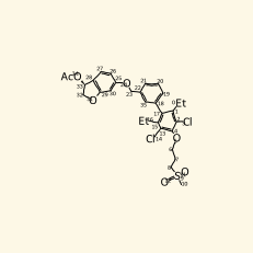 CCc1c(Cl)c(OCCCS(C)(=O)=O)c(Cl)c(CC)c1-c1cccc(COc2ccc3c(c2)OC[C@H]3OC(C)=O)c1